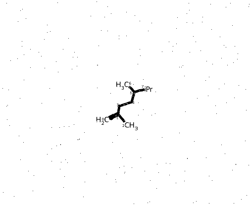 C=C(C)CCC(C)C(C)C